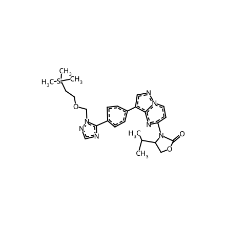 CC(C)C1COC(=O)N1c1ccn2ncc(-c3ccc(-c4ncnn4COCC[Si](C)(C)C)cc3)c2n1